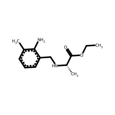 CCOC(=O)[C@H](C)NCc1cccc(C)c1N